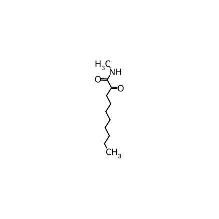 CCCCCCCCC(=O)C(=O)NC